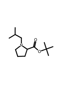 CC(C)CN1CCCC1C(=O)OC(C)(C)C